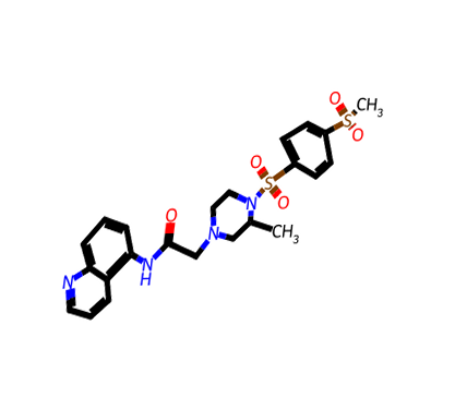 CC1CN(CC(=O)Nc2cccc3ncccc23)CCN1S(=O)(=O)c1ccc(S(C)(=O)=O)cc1